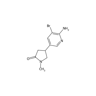 CN1CC(c2cnc(N)c(Br)c2)CC1=O